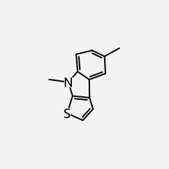 Cc1ccc2c(c1)c1ccsc1n2C